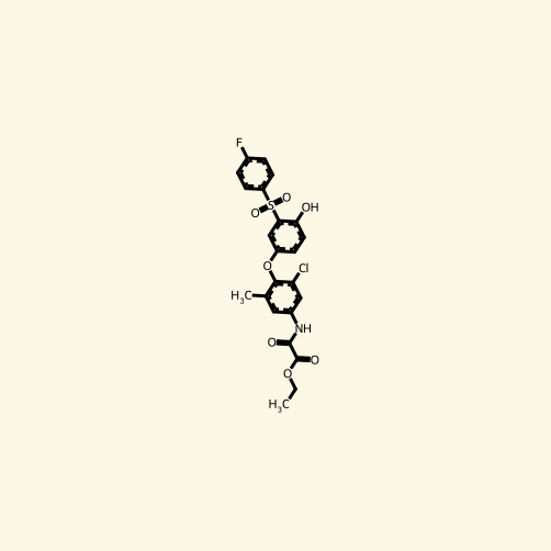 CCOC(=O)C(=O)Nc1cc(C)c(Oc2ccc(O)c(S(=O)(=O)c3ccc(F)cc3)c2)c(Cl)c1